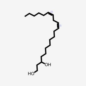 CCCCC/C=C\C/C=C\CCCCCCCC(O)CCO